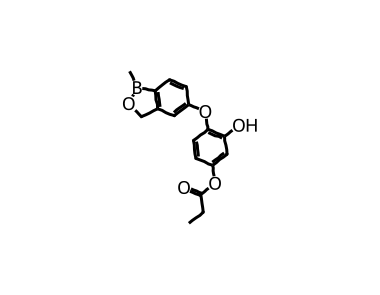 CCC(=O)Oc1ccc(Oc2ccc3c(c2)COB3C)c(O)c1